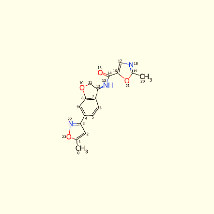 Cc1cc(-c2ccc3c(c2)OC[C@H]3NC(=O)c2cnc(C)o2)no1